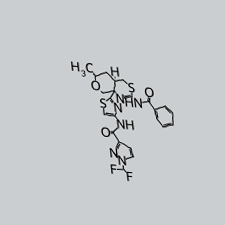 C[C@H]1C[C@H]2CSC(NC(=O)c3ccccc3)=NC2(c2nc(NC(=O)c3ccn(C(F)F)n3)cs2)CO1